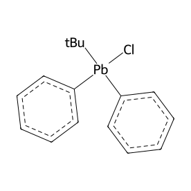 C[C](C)(C)[Pb]([Cl])([c]1ccccc1)[c]1ccccc1